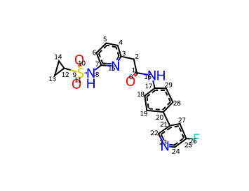 O=C(Cc1cccc(NS(=O)(=O)C2CC2)n1)Nc1ccc(-c2cncc(F)c2)cc1